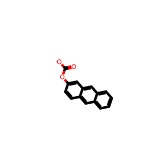 [O]C(=O)Oc1ccc2cc3ccccc3cc2c1